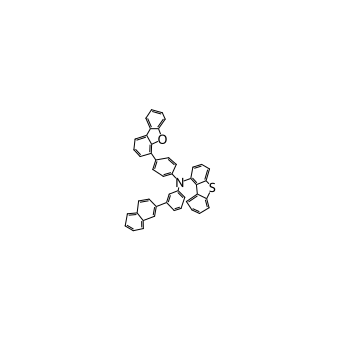 c1cc(-c2ccc3ccccc3c2)cc(N(c2ccc(-c3cccc4c3oc3ccccc34)cc2)c2cccc3sc4ccccc4c23)c1